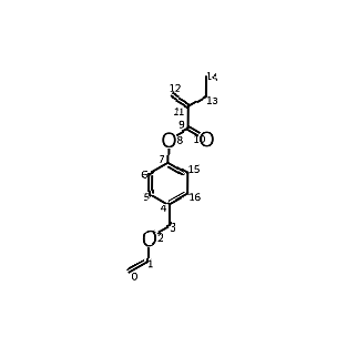 C=COCc1ccc(OC(=O)C(=C)CC)cc1